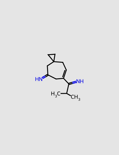 CC(C)C(=N)C1=CCC2(CC2)CC(=N)C1